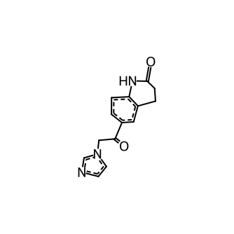 O=C1CCc2cc(C(=O)Cn3ccnc3)ccc2N1